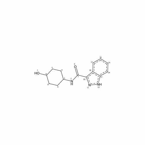 O=C(NC1CCC(O)CC1)c1n[nH]c2ccccc12